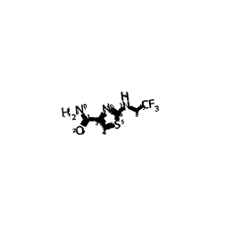 NC(=O)c1csc(NCC(F)(F)F)n1